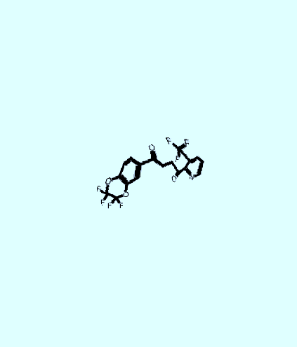 O=C(CCC(=O)c1ncccc1C(F)(F)F)c1ccc2c(c1)OC(F)(F)C(F)(F)O2